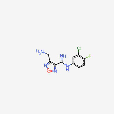 N=C(Nc1ccc(F)c(Cl)c1)c1nonc1CN